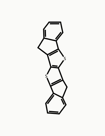 c1ccc2c(c1)Cc1c-2sc2c3c(sc12)-c1ccccc1C3